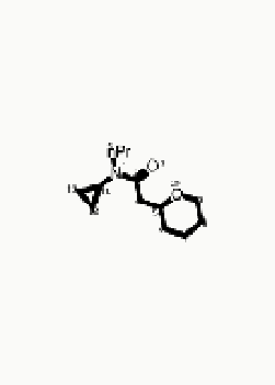 CCCN(C(=O)CC1CCCCO1)C1CC1